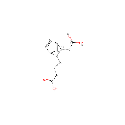 O=C(O)CCCC1C2C=CC(C2)C1CC(=O)O